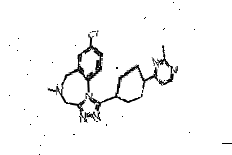 Cc1nccc(C2CCC(c3nnc4n3-c3ccc(Cl)cc3CN(C)C4)CC2)n1